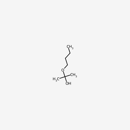 CCCCOC(C)(C)O